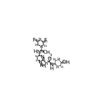 C[C@@H](Nc1ccn2ncc(C(=O)NC3CCC(O)CC3)c2n1)c1cc(F)cc(F)c1